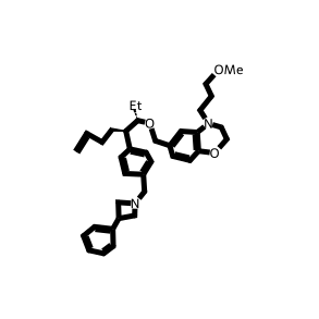 C=CCC[C@H](c1ccc(CN2CC(c3ccccc3)C2)cc1)[C@H](CC)OCc1ccc2c(c1)N(CCCOC)CCO2